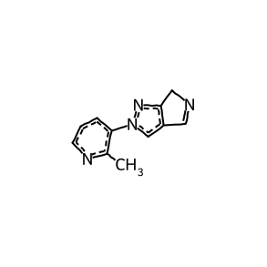 Cc1ncccc1-n1cc2c(n1)CN=C2